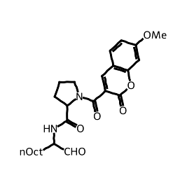 CCCCCCCCC(C=O)NC(=O)C1CCCN1C(=O)c1cc2ccc(OC)cc2oc1=O